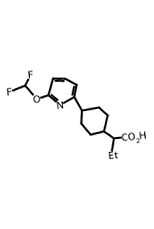 CCC(C(=O)O)C1CCC(c2cccc(OC(F)F)n2)CC1